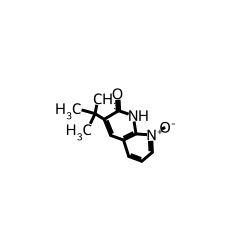 CC(C)(C)c1cc2ccc[n+]([O-])c2[nH]c1=O